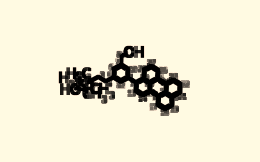 CC(C)(CCc1cc(CO)cc(-c2ccc3c4cccc5cccc(c6cccc2c63)c54)c1)[Si](C)(C)O